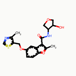 Cc1ncsc1COc1ccc2oc(C)c(C(=O)NC3COCC3O)c2c1